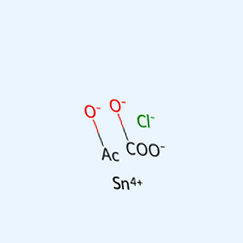 CC(=O)[O-].O=C([O-])[O-].[Cl-].[Sn+4]